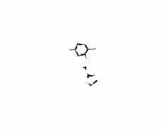 Cc1ccc(C)c(/N=N/c2nccs2)c1